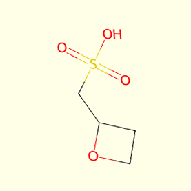 O=S(=O)(O)CC1CCO1